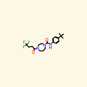 CC(C)(C)c1ccc(NC(=O)N2CCCN(C(=O)CCC(F)(F)F)CC2)cc1